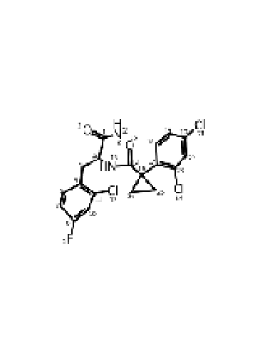 NC(=O)[C@H](Cc1ccc(F)cc1Cl)NC(=O)C1(c2ccc(Cl)cc2Cl)CC1